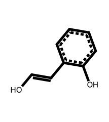 OC=Cc1ccccc1O